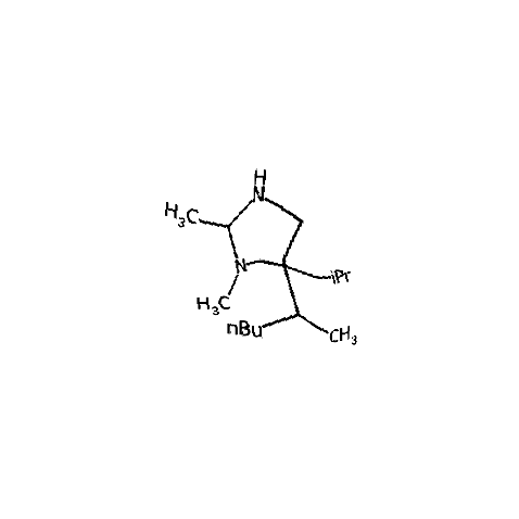 CCCCC(C)C1(C(C)C)CNC(C)N1C